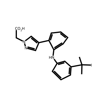 CC(C)(I)c1cccc(Nc2ccccc2-c2cnn(CC(=O)O)c2)c1